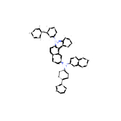 C1=C(c2ccccc2)CCC(N(c2ccc3ccccc3c2)c2ccc3ccc4c(c3c2)c2ccccc2n4-c2cccc(-c3ccccc3)c2)=C1